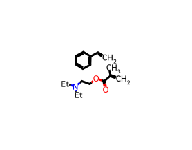 C=C(C)C(=O)OCCN(CC)CC.C=Cc1ccccc1